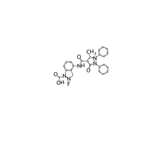 Cc1c(C(=O)Nc2cccc3c2CN(F)N3C(=O)O)c(=O)n(-c2ccccc2)n1-c1ccccc1